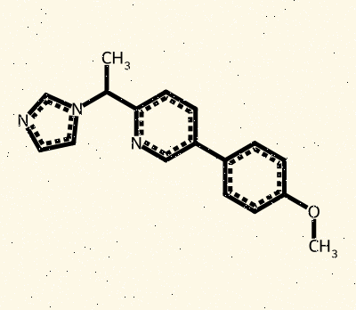 COc1ccc(-c2ccc(C(C)n3ccnc3)nc2)cc1